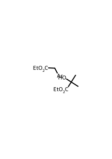 CCOC(=O)C(C)(C)O.CCOC(=O)CC(C)=O